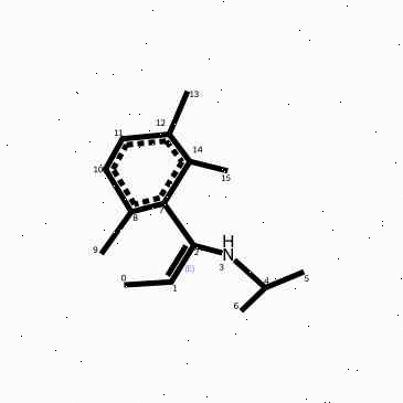 C/C=C(/NC(C)C)c1c(C)ccc(C)c1C